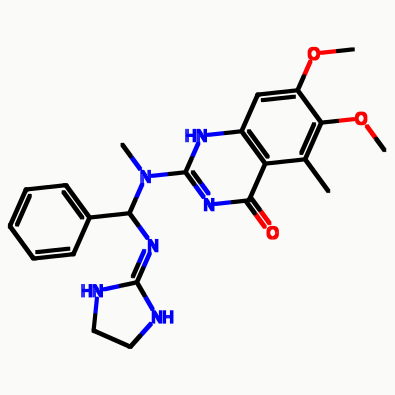 COc1cc2[nH]c(N(C)C(N=C3NCCN3)c3ccccc3)nc(=O)c2c(C)c1OC